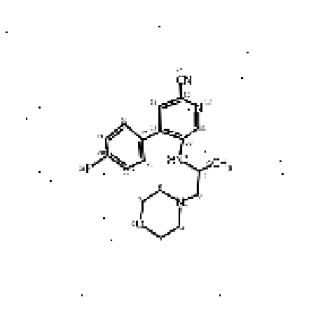 CC(CN1CCOCC1)Nc1cnc(C#N)cc1-c1ccc(F)cc1